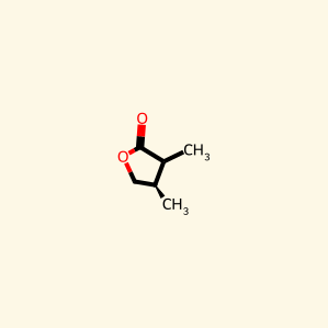 CC1C(=O)OC[C@@H]1C